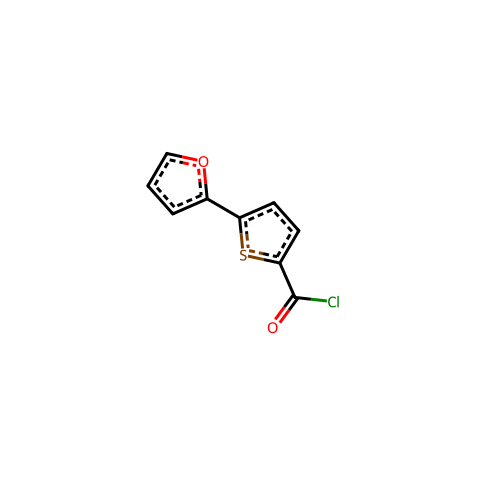 O=C(Cl)c1ccc(-c2ccco2)s1